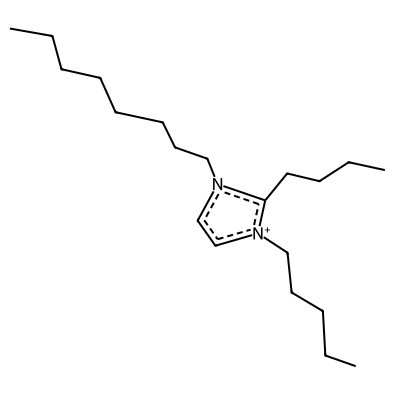 CCCCCCCCn1cc[n+](CCCCC)c1CCCC